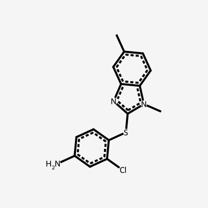 Cc1ccc2c(c1)nc(Sc1ccc(N)cc1Cl)n2C